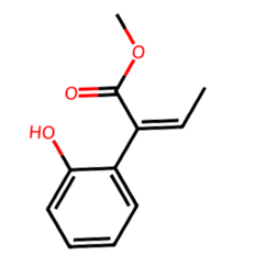 CC=C(C(=O)OC)c1ccccc1O